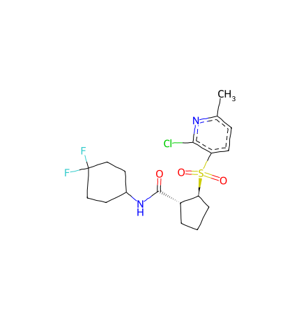 Cc1ccc(S(=O)(=O)[C@H]2CCC[C@@H]2C(=O)NC2CCC(F)(F)CC2)c(Cl)n1